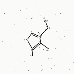 CC(=O)C[n+]1csc(C)c1C